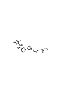 Cc1nn(C)cc1NC(=O)c1cccc(-c2cnn(CCN(C)CCCNC=O)c2)n1